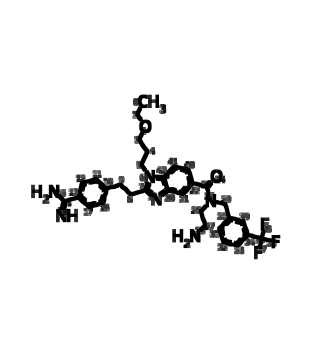 CCOCCCn1c(CCc2ccc(C(=N)N)cc2)nc2cc(C(=O)N(CCN)Cc3cccc(C(F)(F)F)c3)ccc21